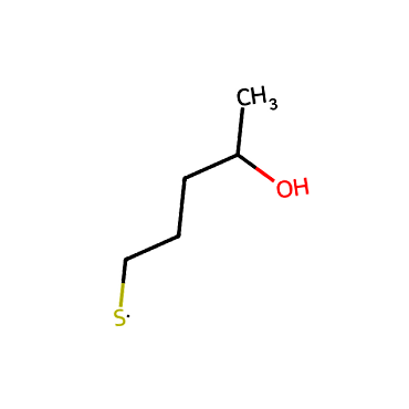 CC(O)CCC[S]